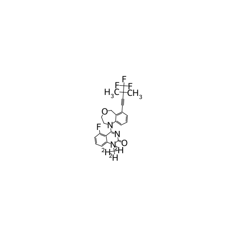 [2H]C([2H])([2H])n1c(=O)nc(N2CCOCc3c(C#CC(C)(C)C(F)(F)F)cccc32)c2c(F)cccc21